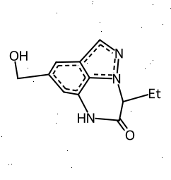 CCC1C(=O)Nc2cc(CO)cc3cnn1c23